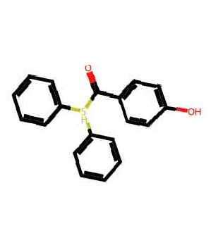 O=C(c1ccc(O)cc1)[SH](c1ccccc1)c1ccccc1